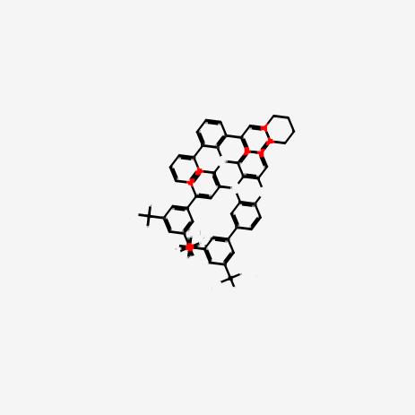 CC(C)(C)c1cc(-c2ccc3c(c2)B2c4cc(-c5cc(C(C)(C)C)cc(C(C)(C)C)c5)ccc4N(c4c(-c5ccccc5)cccc4-c4ccccc4)c4cc(C5CCCCC5)cc(c42)S3)cc(C(C)(C)C)c1